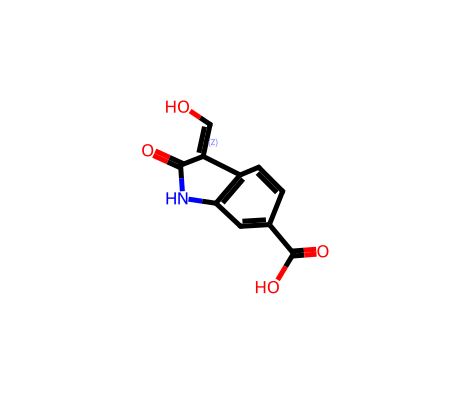 O=C1Nc2cc(C(=O)O)ccc2/C1=C/O